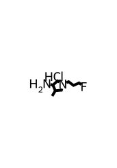 CC1CN(CCCF)CC1N.Cl